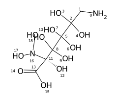 NCC(O)(O)C(O)(O)C(O)(O)[C@@](O)(C(=O)O)N(O)O